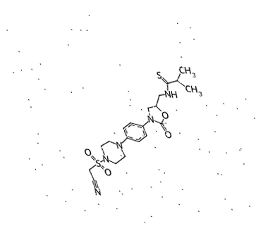 CC(C)C(=S)NCC1CN(c2ccc(N3CCN(S(=O)(=O)CC#N)CC3)cc2)C(=O)O1